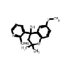 COc1ncccc1C1(O)CC(C)(C)Oc2ccc(SC(F)(F)F)cc21